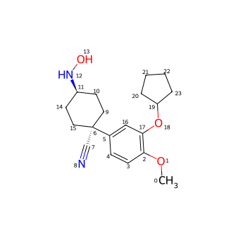 COc1ccc([C@]2(C#N)CC[C@H](NO)CC2)cc1OC1CCCC1